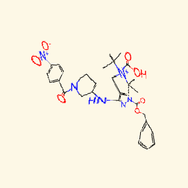 CC(C)(C)[N+]1(C(=O)O)Cc2c(NC3CCCN(C(=O)c4ccc([N+](=O)[O-])cc4)C3)nn(C(=O)OCc3ccccc3)c2C1(C)C